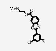 CNCCOC(=O)c1ccc2nc(-c3cc(Cl)cc(Cl)c3)oc2c1